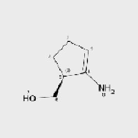 NC1=CCC[C@@H]1CO